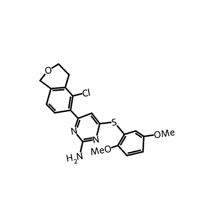 COc1ccc(OC)c(Sc2cc(-c3ccc4c(c3Cl)CCOC4)nc(N)n2)c1